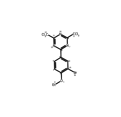 CCOc1ccc(-c2nc(C(Cl)(Cl)Cl)nc(C(Cl)(Cl)Cl)n2)cc1Br